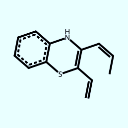 C=CC1=C(/C=C\C)Nc2ccccc2S1